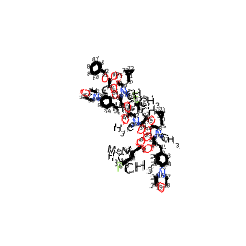 CN[C@@H](CC(C)(C)F)C(=O)O[C@H](Cc1ccc(N2CCOCC2)cc1)C(=O)N(C)[C@@H](CC1CC1)C(=O)O[C@H](C)C(=O)N(C)[C@@H](CC(C)(C)F)C(=O)O[C@H](Cc1ccc(N2CCOCC2)cc1)C(=O)N(C)[C@@H](CC1CC1)C(=O)O[C@H](C)C(=O)OCc1ccccc1